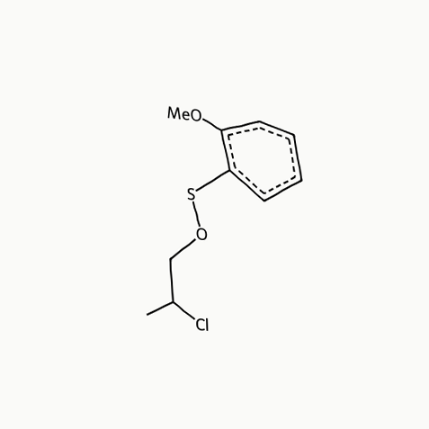 COc1ccccc1SOCC(C)Cl